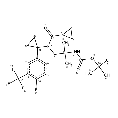 CC(C)(CN(C(=O)C1CC1)C1(c2ccc(F)c(C(F)(F)F)c2)CC1)NC(=O)OC(C)(C)C